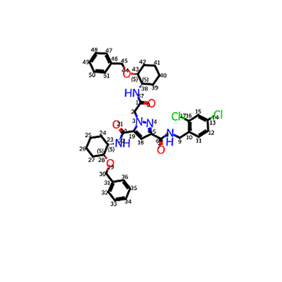 O=C(Cn1nc(C(=O)NCc2ccc(Cl)cc2Cl)cc1C(=O)N[C@H]1CCCC[C@@H]1OCc1ccccc1)N[C@H]1CCCC[C@@H]1OCc1ccccc1